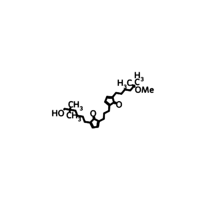 COC(C)(C)CCCCC1=CC=C(CCCC2=CC=C(CCCCC(C)(C)CO)C2=O)C1=O